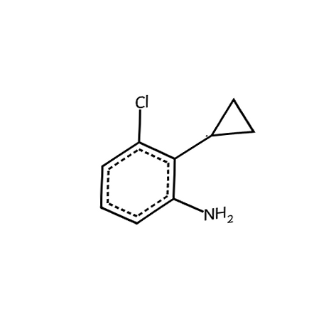 Nc1cccc(Cl)c1[C]1CC1